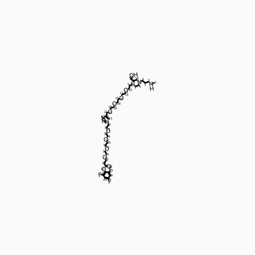 CNCCCN1CCN(CCOCCOCCOCCOCc2cn(CCOCCOCCOCCOCCC(=O)Oc3c(F)cc(F)cc3F)nn2)C(CO)C1